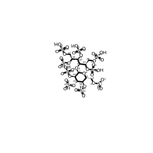 O=[SH](=O)OC[C@H]1O[C@H](O[C@@H]([C@H](OS(=O)(=O)O)[C@H](COS(=O)(=O)O)O[SH](=O)=O)[C@@H](COS(=O)(=O)O)OS(=O)(=O)O)[C@H](OS(=O)(=O)O)[C@@H](O[SH](=O)=O)[C@@H]1O[SH](=O)=O